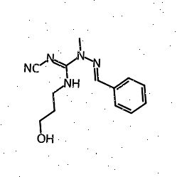 CN(N=Cc1ccccc1)C(=NC#N)NCCCO